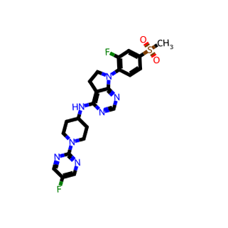 CS(=O)(=O)c1ccc(N2CCc3c(NC4CCN(c5ncc(F)cn5)CC4)ncnc32)c(F)c1